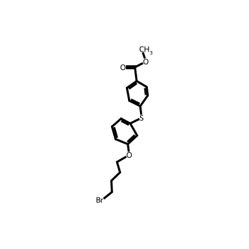 COC(=O)c1ccc(Sc2cccc(OCCCCBr)c2)cc1